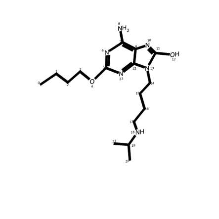 CCCCOc1nc(N)c2nc(O)n(CCCCNC(C)C)c2n1